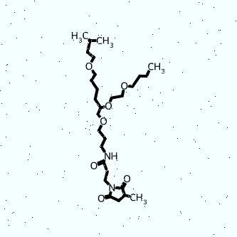 CCCCOCCOC(CCCCOCCC(C)C)COCCCNC(=O)CCN1C(=O)CC(C)C1=O